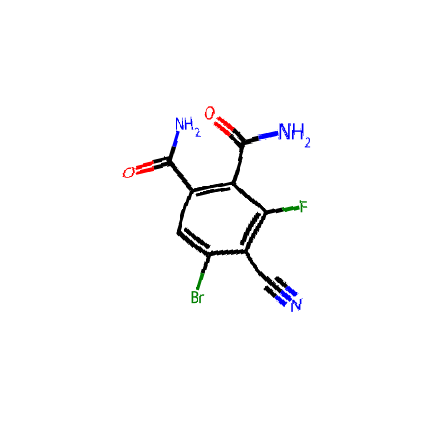 N#Cc1c(Br)cc(C(N)=O)c(C(N)=O)c1F